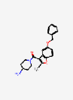 Cc1oc2ccc(OCc3ccccc3)cc2c1C(=O)N1CCC(N)CC1